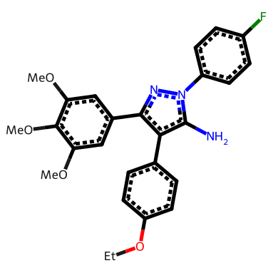 CCOc1ccc(-c2c(-c3cc(OC)c(OC)c(OC)c3)nn(-c3ccc(F)cc3)c2N)cc1